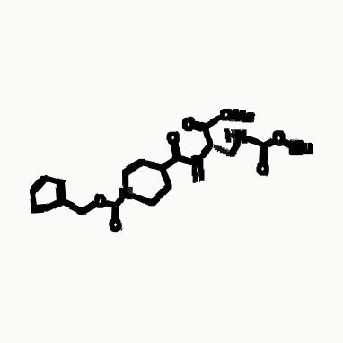 COC(=O)[C@H](CNC(=O)OC(C)(C)C)NC(=O)C1CCN(C(=O)OCc2ccccc2)CC1